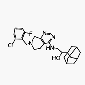 OC(CNc1ncnc2c1CCN(Cc1c(F)cccc1Cl)C2)C12CC3CC(CC(C3)C1)C2